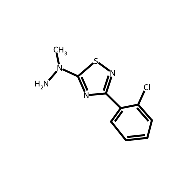 CN(N)c1nc(-c2ccccc2Cl)ns1